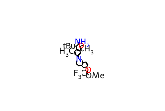 COC(Oc1ccc2c(c1)CCCN(c1cc(C)c(C(C(N)=O)C(C)(C)C)c(C)c1)C2)C(F)(F)F